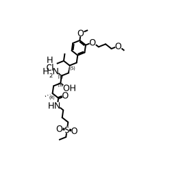 CCS(=O)(=O)CCCNC(=O)[C@H](C)C[C@H](O)[C@@H](N)C[C@H](Cc1ccc(OC)c(OCCCOC)c1)C(C)C.Cl